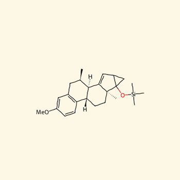 COc1ccc2c(c1)C[C@@H](C)[C@H]1C3=CC4CC4(O[Si](C)(C)C)[C@@]3(C)CC[C@H]21